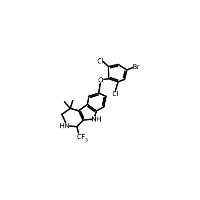 CC1(C)CNC(C(F)(F)F)c2[nH]c3ccc(Oc4c(Cl)cc(Br)cc4Cl)cc3c21